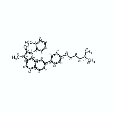 Cc1ncccc1-n1c(=O)n(C)c2cnc3ccc(-c4ccc(OCCCN(C)C)nc4)cc3c21